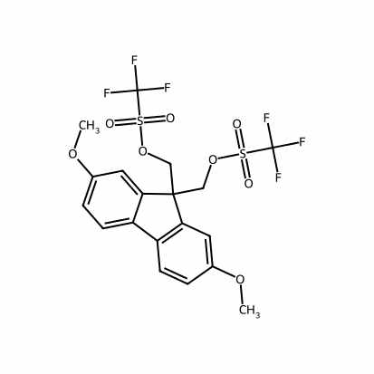 COc1ccc2c(c1)C(COS(=O)(=O)C(F)(F)F)(COS(=O)(=O)C(F)(F)F)c1cc(OC)ccc1-2